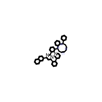 C1=C\C/C(c2ccccc2)=c2/cccc/c2=C(\c2cccc(-c3nc(-c4ccc5ccccc5c4)cc(-c4ccccc4-c4cccnc4)n3)c2)C\C=C/1